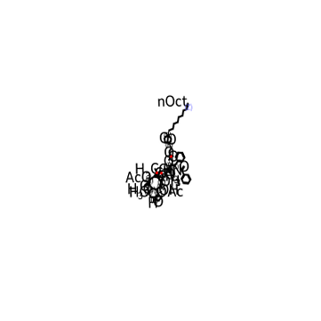 CCCCCCCC/C=C\CCCCCCC[C@@H]1OC[C@H](COC(=O)O[C@@H](C(=O)O[C@H]2C[C@@]3(O)[C@@H](O)C4[C@](C)(C(=O)[C@H](OC(C)=O)C(=C2C)C3(C)C)[C@@H](O)C[C@H]2OC[C@@]42OC(C)=O)[C@@H](NC(=O)c2ccccc2)c2ccccc2)O1